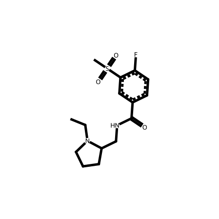 CCN1CCCC1CNC(=O)c1ccc(F)c(S(C)(=O)=O)c1